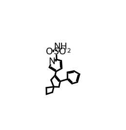 NS(=O)(=O)c1ccc(C2=C(c3ccccc3)CC3(CCC3)C2)cn1